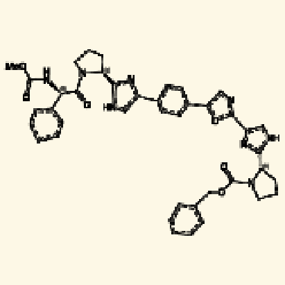 COC(=O)N[C@@H](C(=O)N1CCC[C@H]1c1nc(-c2ccc(-c3cnc(-c4c[nH]c([C@@H]5CCCN5C(=O)OCc5ccccc5)n4)o3)cc2)c[nH]1)c1ccccc1